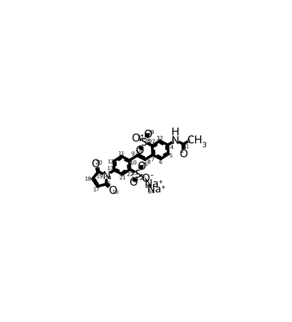 CC(=O)Nc1ccc(C=Cc2ccc(N3C(=O)C=CC3=O)cc2S(=O)(=O)[O-])c(S(=O)(=O)[O-])c1.[Na+].[Na+]